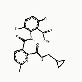 CCc1ccc(Cl)c(C(=O)OC)c1NC(=O)c1ccc(C)nc1C(=O)NCC1CC1